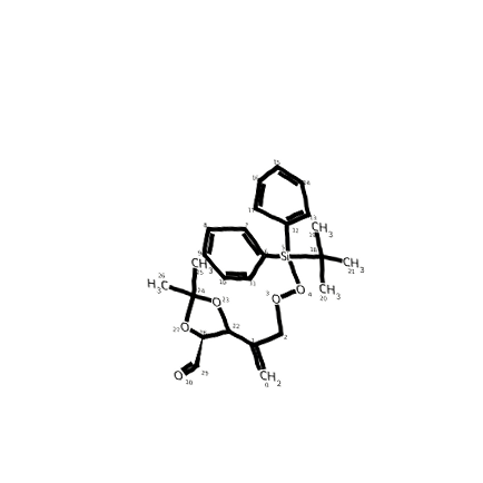 C=C(COO[Si](c1ccccc1)(c1ccccc1)C(C)(C)C)C1OC(C)(C)O[C@@H]1C=O